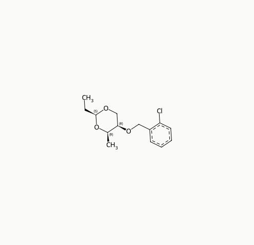 CC[C@H]1OC[C@@H](OCc2ccccc2Cl)[C@@H](C)O1